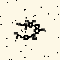 CCNC(=O)[C@H]1O[C@@H](n2cnc3c(N)nc(NCCc4ccc(CCC(=O)O)cc4)nc32)[C@H](O)[C@@H]1O.[NaH]